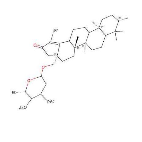 CCC1OC(OC[C@@]23CC[C@]4(C)C(CCC5[C@@]6(C)CC[C@H](C)C(C)(C)C6CC[C@]54C)C2=C(C(C)C)C(=O)C3)CC(OC(C)=O)C1OC(C)=O